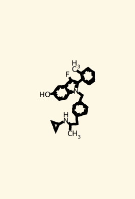 Cc1ccc#cc1-c1c(F)c2cc(O)ccc2n1Cc1ccc(CC(C)NC2CC2)cc1